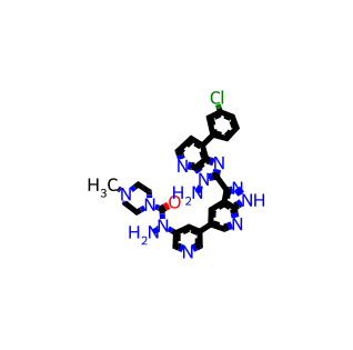 CN1CCN(C(=O)N(N)c2cncc(-c3cnc4[nH]nc(-c5nc6c(-c7cccc(Cl)c7)ccnc6n5N)c4c3)c2)CC1